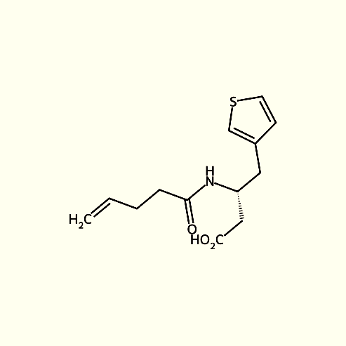 C=CCCC(=O)N[C@@H](CC(=O)O)Cc1ccsc1